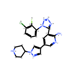 Nc1ncc(-c2cnn(C3CCNCC3)c2)cc1-c1nnnn1-c1cccc(Cl)c1F